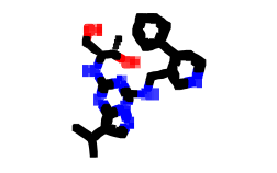 CC(C)c1cnn2c(NCc3cnccc3-c3ccccc3)nc(N[C@@H](CO)[C@H](C)O)nc12